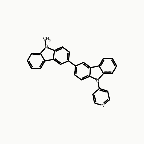 Cn1c2ccccc2c2cc(-c3ccc4c(c3)c3ccccc3n4-c3ccncc3)ccc21